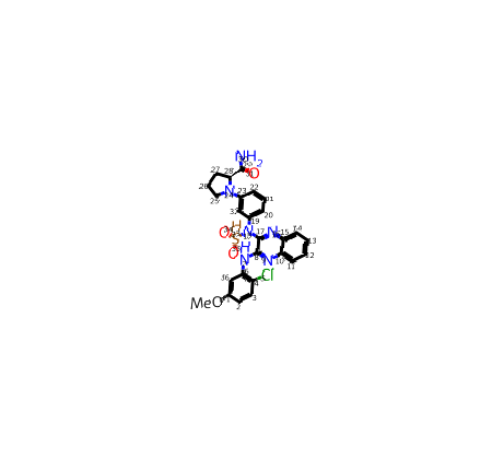 COc1ccc(Cl)c(Nc2nc3ccccc3nc2N(c2cccc(N3CCC[C@H]3C(N)=O)c2)[SH](=O)=O)c1